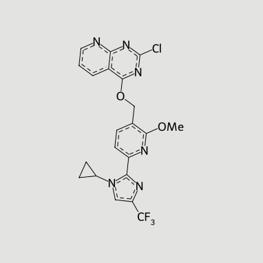 COc1nc(-c2nc(C(F)(F)F)cn2C2CC2)ccc1COc1nc(Cl)nc2ncccc12